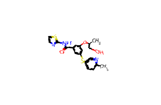 Cc1ccc(Sc2cc(O[C@@H](C)CO)cc(C(=O)Nc3nccs3)c2)cn1